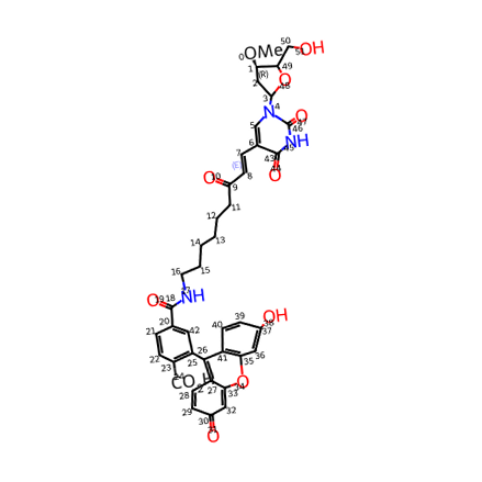 CO[C@@H]1CC(n2cc(/C=C/C(=O)CCCCCCNC(=O)c3ccc(C(=O)O)c(-c4c5ccc(=O)cc-5oc5cc(O)ccc45)c3)c(=O)[nH]c2=O)OC1CO